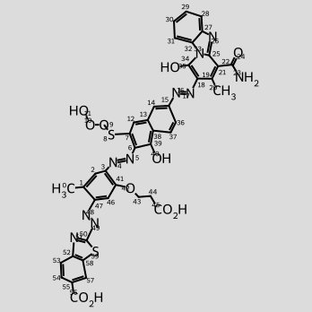 Cc1cc(N=Nc2c(SOOO)cc3cc(N=Nc4c(C)c(C(N)=O)c5nc6ccccc6n5c4O)ccc3c2O)c(OCCC(=O)O)cc1N=Nc1nc2ccc(C(=O)O)cc2s1